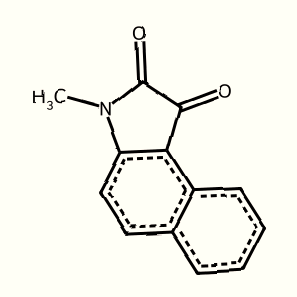 CN1C(=O)C(=O)c2c1ccc1ccccc21